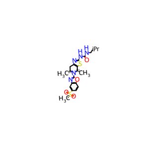 CC(C)CNC(=O)Nc1nc2c(s1)[C@H](C)N(c1nc3cc(S(C)(=O)=O)ccc3o1)[C@H](C)C2